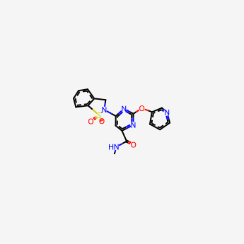 CNC(=O)c1cc(N2Cc3ccccc3S2(=O)=O)nc(Oc2cccnc2)n1